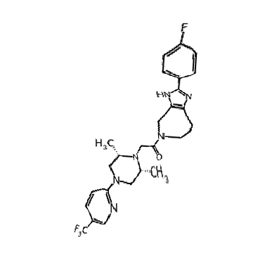 C[C@@H]1CN(c2ccc(C(F)(F)F)cn2)C[C@H](C)N1CC(=O)N1CCc2nc(-c3ccc(F)cc3)[nH]c2C1